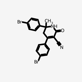 CC1(c2ccc(Br)cc2)CC(c2ccc(Br)cc2)=C(C#N)C(=O)N1